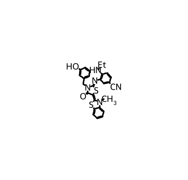 CCNc1ccc(C#N)cc1N=C1SC(=C2Sc3ccccc3N2C)C(=O)N1Cc1cccc(O)c1